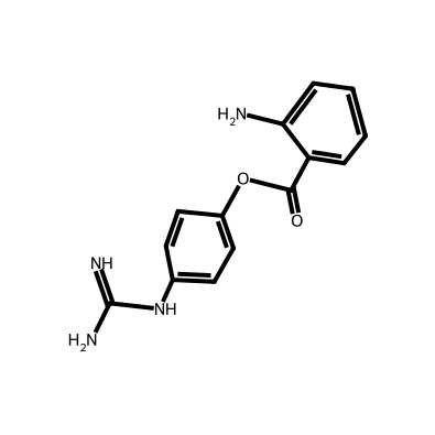 N=C(N)Nc1ccc(OC(=O)c2ccccc2N)cc1